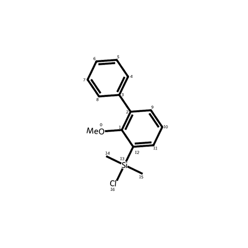 COc1c(-c2ccccc2)cccc1[Si](C)(C)Cl